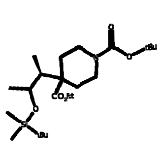 CCOC(=O)C1([C@H](C)C(C)O[Si](C)(C)C(C)(C)C)CCN(C(=O)OC(C)(C)C)CC1